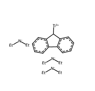 CC[N-]CC.CC[N-]CC.CC[N-]CC.[Ti+3][CH]1c2ccccc2-c2ccccc21